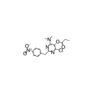 CCC(=O)Oc1c(Cl)nc(Cc2ccc([N+](=O)[O-])cc2)nc1N(C)C